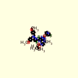 COc1ccc(CN(Cc2ccc(OC)cc2)c2ccc(F)c(-c3ncc4c(N(C)[C@@H]5CCN(C(=O)OC(C)(C)C)C5)nc(OC[C@@]56CCCN5C[C@H](F)C6)nc4c3F)n2)cc1